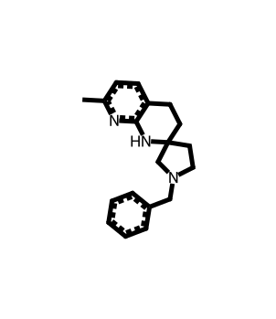 Cc1ccc2c(n1)NC1(CC2)CCN(Cc2ccccc2)C1